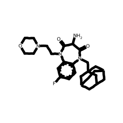 NC1C(=O)N(CCN2CCOCC2)c2cc(F)ccc2N(CC23CC4CC(CC(C4)C2)C3)C1=O